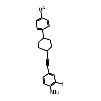 CCCCc1ccc(C#CC2CCC(c3ccc(CCC)cc3)CC2)cc1F